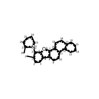 Cc1ccc2c(oc3c2ccc2c4ccccc4ccc23)c1-[n+]1ccccc1C